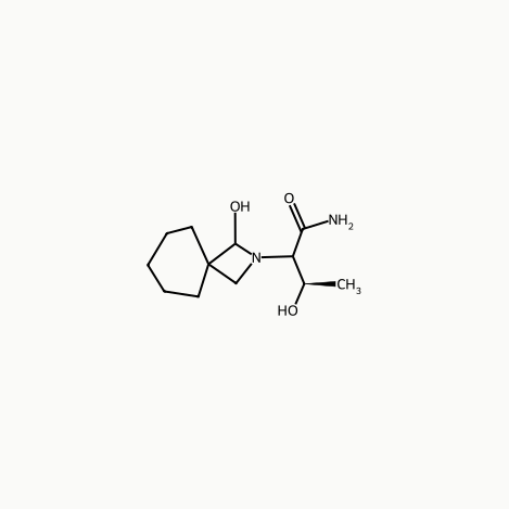 C[C@@H](O)C(C(N)=O)N1CC2(CCCCC2)C1O